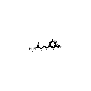 NC(=O)CC[CH]c1cncc(Br)c1